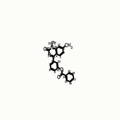 Cc1ccc2c(-c3cccc(OC(=O)c4ccccc4)c3)nc(=O)n(C(C)C)c2c1